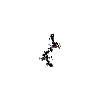 C=C(C)C(C)(C(=O)OCCOC(=O)c1ccccc1)/C(C)=C/C=C/C(=O)OCCOC(=O)C1=C2CCC2=C(C)C(C)(C(=O)OCCOC(=O)c2ccccc2)C(C)=C1